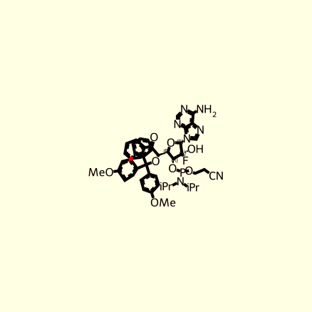 COc1ccc(C(OC(C(=O)c2ccccc2)[C@H]2O[C@@H](n3cnc4c(N)ncnc43)[C@@](O)(F)[C@@H]2OP(OCCC#N)N(C(C)C)C(C)C)(c2ccccc2)c2ccc(OC)cc2)cc1